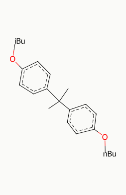 CCCCOc1ccc(C(C)(C)c2ccc(OC(C)CC)cc2)cc1